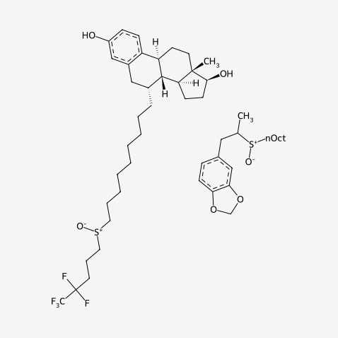 CCCCCCCC[S+]([O-])C(C)Cc1ccc2c(c1)OCO2.C[C@]12CC[C@@H]3c4ccc(O)cc4C[C@@H](CCCCCCCCC[S+]([O-])CCCC(F)(F)C(F)(F)F)[C@H]3[C@@H]1CC[C@@H]2O